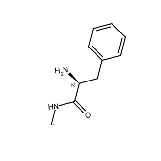 [CH2]NC(=O)[C@@H](N)Cc1ccccc1